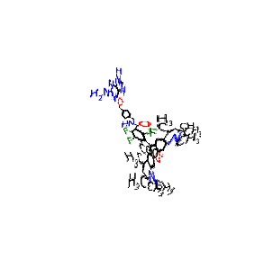 CC1=CC(C)(C)N(C)c2cc3[o+]c4cc5c(cc4c(-c4c(F)c(C(=O)NCc6ccc(COc7nc(N)nc8[nH]cnc78)cc6)c(F)c(F)c4C(=O)[O-])c3cc21)C(C)=CC(C)(C)N5C